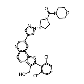 O=C(N1CCOCC1)N1CC[C@H](n2cc(-c3cnc4ccn5c(CO)c(-c6c(Cl)cccc6Cl)nc5c4c3)cn2)C1